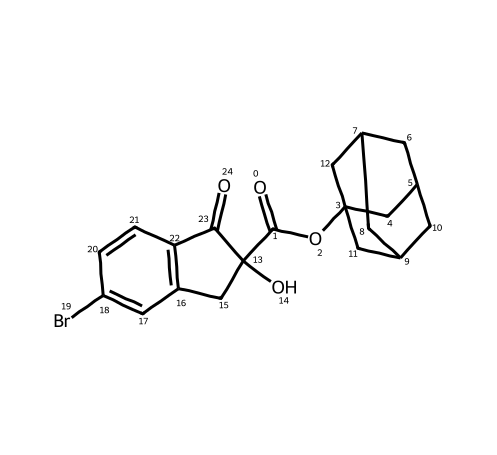 O=C(OC12CC3CC(CC(C3)C1)C2)C1(O)Cc2cc(Br)ccc2C1=O